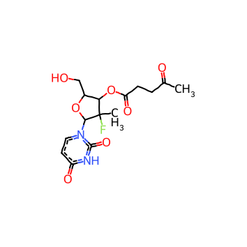 CC(=O)CCC(=O)OC1C(CO)OC(n2ccc(=O)[nH]c2=O)C1(C)F